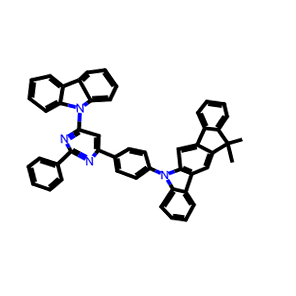 CC1(C)c2ccccc2-c2cc3c(cc21)c1ccccc1n3-c1ccc(-c2cc(-n3c4ccccc4c4ccccc43)nc(-c3ccccc3)n2)cc1